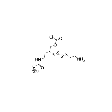 CC(C)(C)OC(=O)NCCC(COC(=O)Cl)SSSSCCN